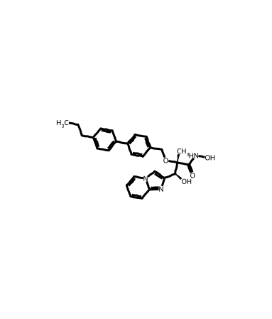 CCCc1ccc(-c2ccc(CO[C@](C)(C(=O)NO)[C@@H](O)c3cn4ccccc4n3)cc2)cc1